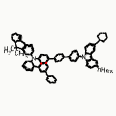 CCCCCCc1ccc2c(c1)c1cc(C3CCCCC3)ccc1n2-c1ccc(-c2ccc(-c3ccc(N(c4ccc5c(c4)C(C)(C)c4ccccc4-5)c4ccccc4-c4cccc(-c5ccccc5)c4)cc3)cc2)cc1